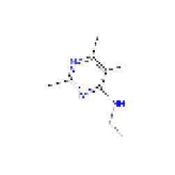 CCNc1nc(C)nc(C)c1C